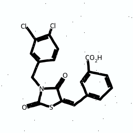 O=C(O)c1cccc(C=C2SC(=O)N(Cc3ccc(Cl)c(Cl)c3)C2=O)c1